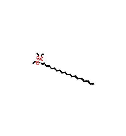 CCCCCCCCCCCCCCCCC=CC=C[Si](OCC)(OCC)OCC